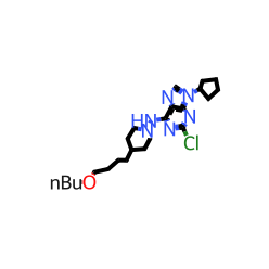 CCCCOCCCCC1CCN(Nc2nc(Cl)nc3c2ncn3C2CCCC2)CC1